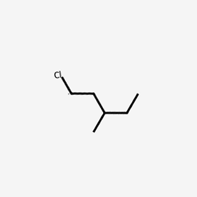 CCC(C)C[CH]Cl